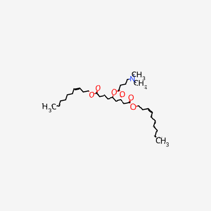 CCCCCC/C=C\CCOC(=O)CCCC(CCCC(=O)OCC/C=C\CCCCCC)OC(=O)CCCN(C)C